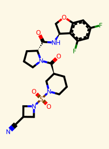 N#CC1CN(S(=O)(=O)N2CCC[C@H](C(=O)N3CCC[C@@H]3C(=O)N[C@H]3COc4cc(F)cc(F)c43)C2)C1